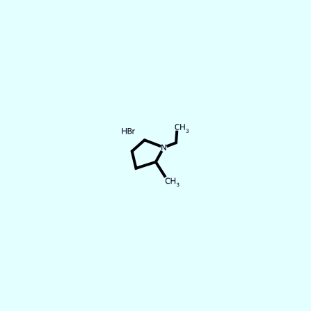 Br.CCN1CCCC1C